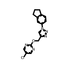 Clc1cnc(OCc2cn(-c3ccc4c(c3)CCC4)nn2)nc1